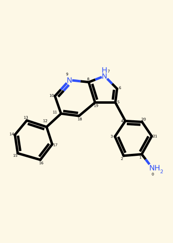 Nc1ccc(-c2c[nH]c3ncc(-c4ccccc4)cc23)cc1